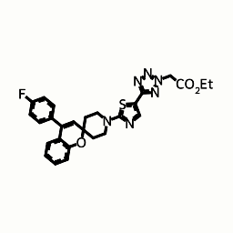 CCOC(=O)Cn1nnc(-c2cnc(N3CCC4(C=C(c5ccc(F)cc5)c5ccccc5O4)CC3)s2)n1